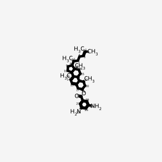 CC(C)=CCCC(C)C1CCC2(C)C3=CC=C4CC(OC(=O)c5cc(N)cc(N)c5)CC(C)C4C3CCC12C